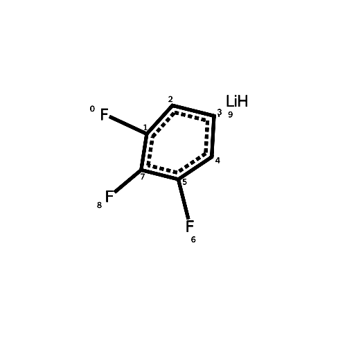 Fc1c[c]cc(F)c1F.[LiH]